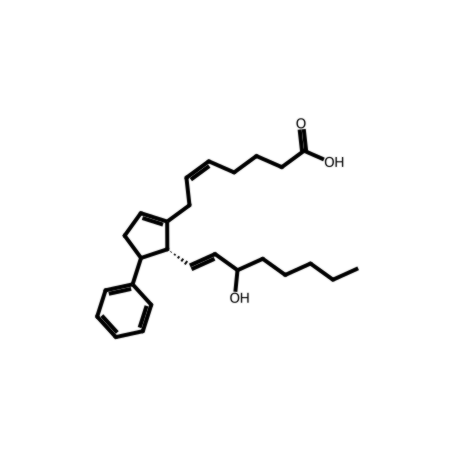 CCCCCC(O)/C=C/[C@H]1C(C/C=C\CCCC(=O)O)=CCC1c1ccccc1